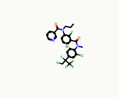 CCCN(C(=O)c1cccnc1)c1cccc(C(=O)N(C)c2c(Cl)cc(C(F)(CF)C(F)(F)F)cc2Br)c1F